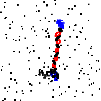 CN(C)Cc1nccn1CCOCCOCCOCCOCCOCCN=[N+]=[N-]